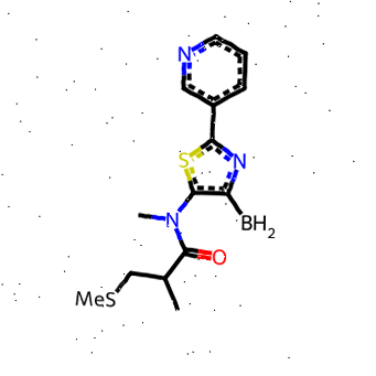 Bc1nc(-c2cccnc2)sc1N(C)C(=O)C(C)CSC